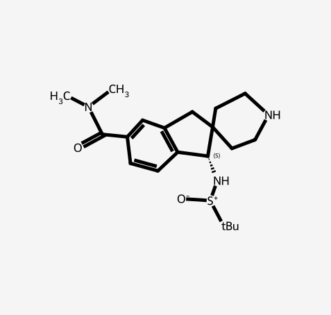 CN(C)C(=O)c1ccc2c(c1)CC1(CCNCC1)[C@@H]2N[S+]([O-])C(C)(C)C